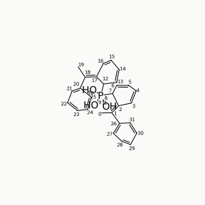 CC(=C1C=CC=CC1P(O)(O)(O)C1C=CC=CC1=C(C)c1ccccc1)c1ccccc1